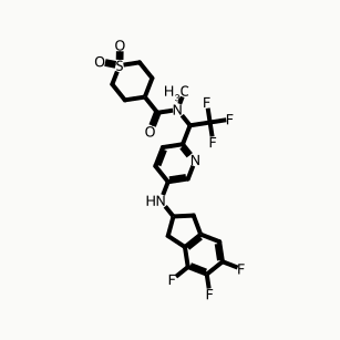 CN(C(=O)C1CCS(=O)(=O)CC1)C(c1ccc(NC2Cc3cc(F)c(F)c(F)c3C2)cn1)C(F)(F)F